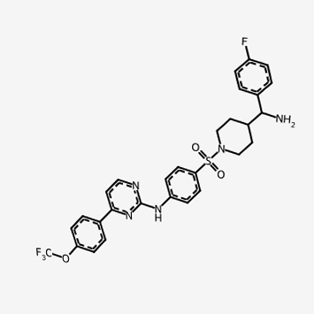 NC(c1ccc(F)cc1)C1CCN(S(=O)(=O)c2ccc(Nc3nccc(-c4ccc(OC(F)(F)F)cc4)n3)cc2)CC1